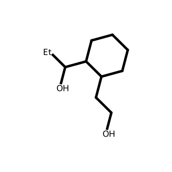 CCC(O)C1CCCCC1CCO